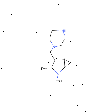 CC(C)[C@@H]1C(CN2CCNCC2)C2(C)CC2N1C(C)(C)C